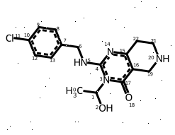 CC(O)n1c(NCc2ccc(Cl)cc2)nc2c(c1=O)CNCC2